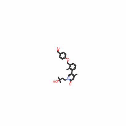 Cc1cc(=O)n(CCC(C)(C)O)cc1-c1cccc(COc2ccc(C=O)cc2)c1C